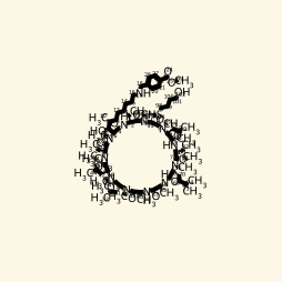 CC[C@@H]1NC(=O)[C@H]([C@H](O)[C@H](C)CCCCCCNCc2ccc(C(=O)OC)cc2)N(C)C(=O)[C@H](C(C)C)N(C)C(=O)[C@H](CC(C)C)N(C)C(=O)[C@@H](CC(C)C)N(C)C(=O)[C@H](C)NC(=O)[C@@H](C)NC(=O)[C@@H](CCC(C)C)N(C)C(=O)[C@@H](C(C)C)NC(=O)[C@H](CC(C)C)N(C)C(=O)[C@@H](CSCCCCO)N(C)C1=O